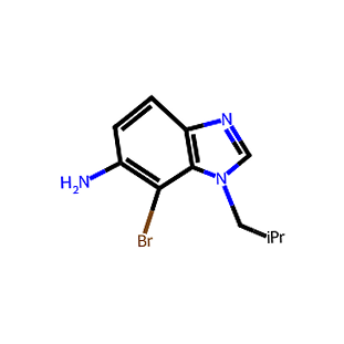 CC(C)Cn1cnc2ccc(N)c(Br)c21